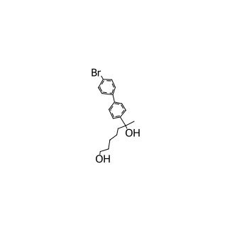 CC(O)(CCCCCO)c1ccc(-c2ccc(Br)cc2)cc1